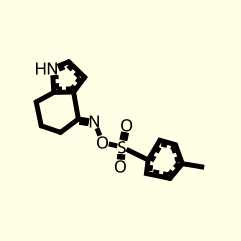 Cc1ccc(S(=O)(=O)O/N=C2\CCCc3[nH]ccc32)cc1